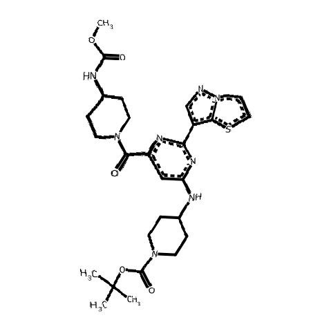 COC(=O)NC1CCN(C(=O)c2cc(NC3CCN(C(=O)OC(C)(C)C)CC3)nc(-c3cnn4ccsc34)n2)CC1